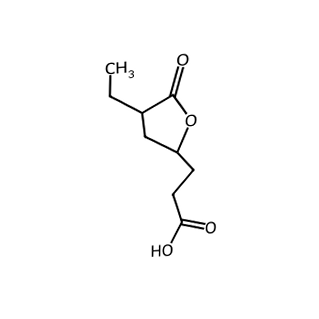 CCC1CC(CCC(=O)O)OC1=O